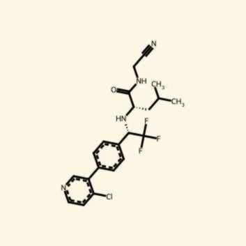 CC(C)C[C@H](N[C@@H](c1ccc(-c2cnccc2Cl)cc1)C(F)(F)F)C(=O)NCC#N